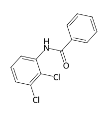 O=C(Nc1cccc(Cl)c1Cl)c1ccccc1